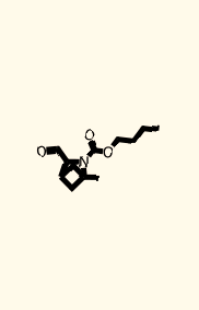 CCCCOC(=O)N1C(C=O)C2CC1(C)C2